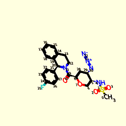 CS(=O)(=O)N[C@@H]1CO[C@@H](C(=O)N2CCc3ccccc3[C@@H]2c2ccc(F)cc2)C[C@@H]1N=[N+]=[N-]